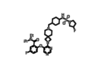 CCN(C(=O)c1cc(F)ccc1Oc1cncnc1N1CC2(CCN(CC3CCC(NS(=O)(=O)N4CCC(F)C4)CC3)CC2)C1)C(C)C